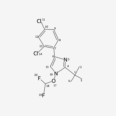 CC(C)(C)c1nc(-c2ccc(Cl)cc2Cl)cn1OC(F)F